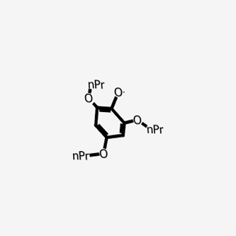 CCCOc1cc(OCCC)c([O])c(OCCC)c1